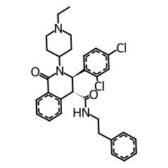 CCN1CCC(N2C(=O)c3ccccc3[C@@H](C(=O)NCCc3ccccc3)[C@@H]2c2ccc(Cl)cc2Cl)CC1